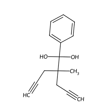 C#CCC(C)(CC#C)C(O)(O)c1ccccc1